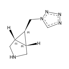 c1nnnn1C[C@H]1[C@@H]2CNC[C@@H]21